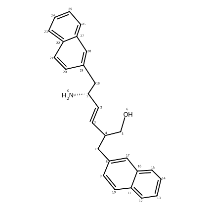 N[C@@H](/C=C/C(CO)Cc1ccc2ccccc2c1)Cc1ccc2ccccc2c1